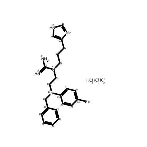 Cl.Cl.Cl.N=C(N)N(CCCc1c[nH]cn1)CCN(Cc1ccccc1)c1ccc(F)cc1